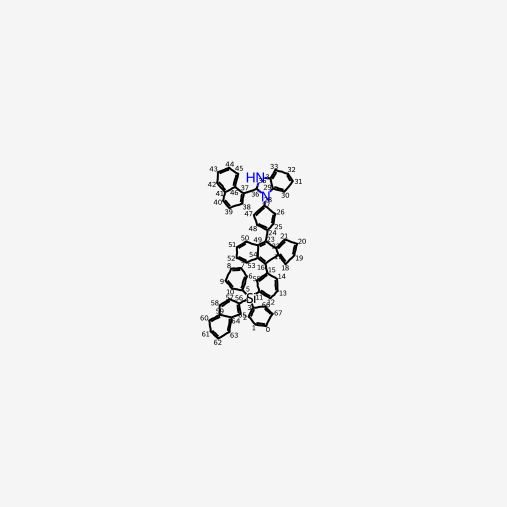 c1ccc([Si](c2ccccc2)(c2cccc(-c3c4ccccc4c(-c4ccc(N5c6ccccc6NC5c5cccc6ccccc56)cc4)c4ccccc34)c2)c2ccc3ccccc3c2)cc1